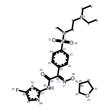 CCN(CC)CCN(C)S(=O)(=O)c1ccc(/C(=N\O[C@@H]2CCOC2)C(=O)Nc2ncc(F)s2)cc1